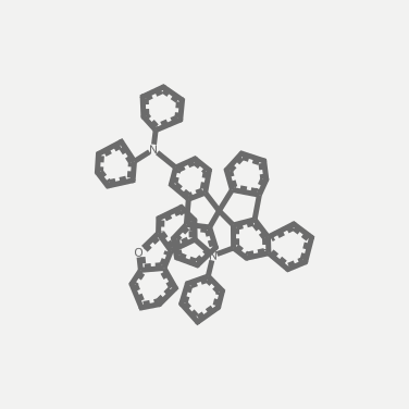 c1ccc(N(c2ccccc2)c2ccc3c(c2)-c2ccccc2C32c3ccccc3-c3c2c(N(c2ccccc2)c2cccc4oc5ccccc5c24)cc2ccccc32)cc1